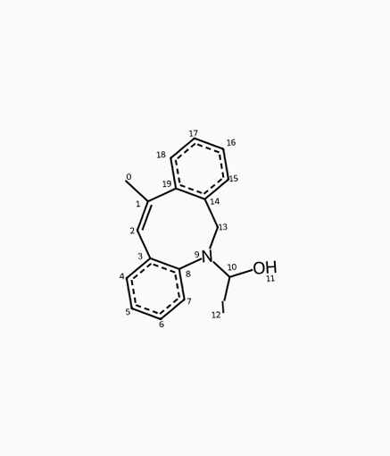 C/C1=C/c2ccccc2N(C(O)I)Cc2ccccc21